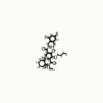 CCCCOc1c2n(cc(C(=O)NCc3c(F)cc(F)cc3F)c1=O)[C@@H]1CCCC[C@@H]1N(CC)C2=O